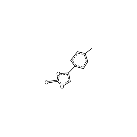 Cc1ccc(-c2coc(=O)o2)cc1